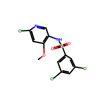 COc1cc(Cl)ncc1NS(=O)(=O)c1cc(Cl)cc(Cl)c1